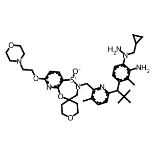 Cc1ccc(C(c2ccc(N(N)CC3CC3)c(N)c2C)C(C)(C)C)nc1CN1CC2(CCOCC2)Oc2nc(OCCN3CCOCC3)ccc2[S+]1[O-]